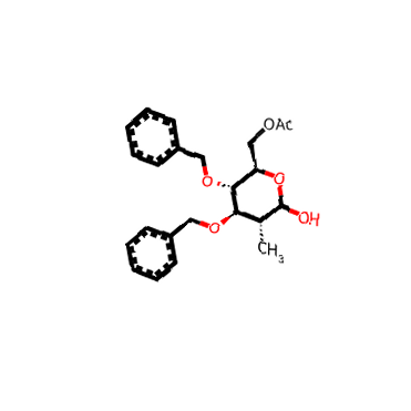 CC(=O)OC[C@H]1OC(O)[C@H](C)[C@@H](OCc2ccccc2)[C@@H]1OCc1ccccc1